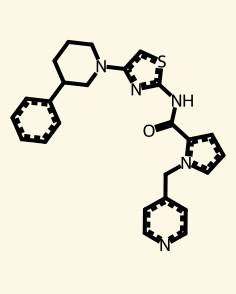 O=C(Nc1nc(N2CCCC(c3ccccc3)C2)cs1)c1cccn1Cc1ccncc1